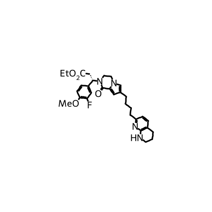 CCOC(=O)C[C@@H](c1ccc(OC)c(F)c1)N1CCn2cc(CCCCc3ccc4c(n3)NCCC4)cc2C1=O